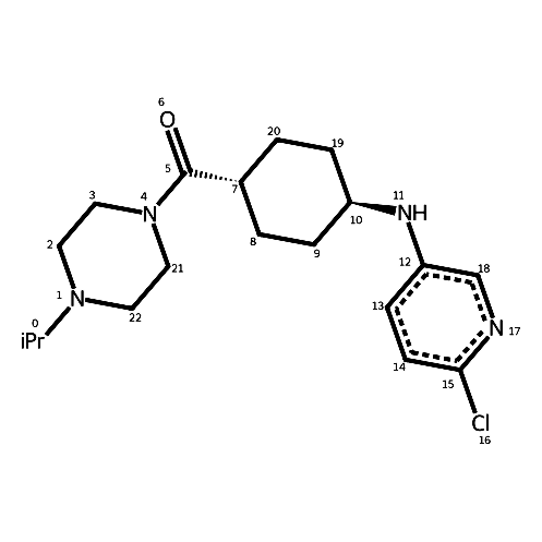 CC(C)N1CCN(C(=O)[C@H]2CC[C@H](Nc3ccc(Cl)nc3)CC2)CC1